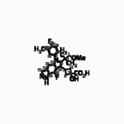 COCC(C)(C)c1c(C2CC(O)(C(=O)O)C2)c2c(F)c3[nH]ncc3cc2n1-c1ccc(F)c(C)c1